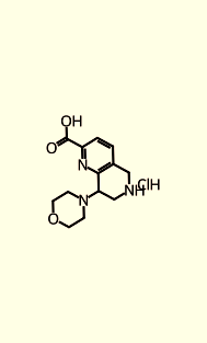 Cl.O=C(O)c1ccc2c(n1)C(N1CCOCC1)CNC2